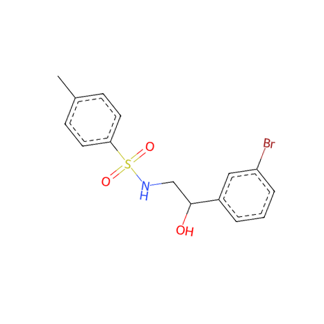 Cc1ccc(S(=O)(=O)NCC(O)c2cccc(Br)c2)cc1